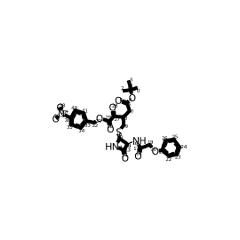 CC(C)(C)OC(=O)CC(CS[C@H]1NC(=O)[C@H]1NC(=O)COc1ccccc1)C(=O)C(=O)OCc1ccc([N+](=O)[O-])cc1